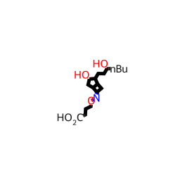 CCCCC(O)CCC1C(O)CC2C(=NOCCCC(=O)O)CC21